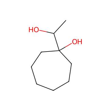 CC(O)C1(O)CCCCCC1